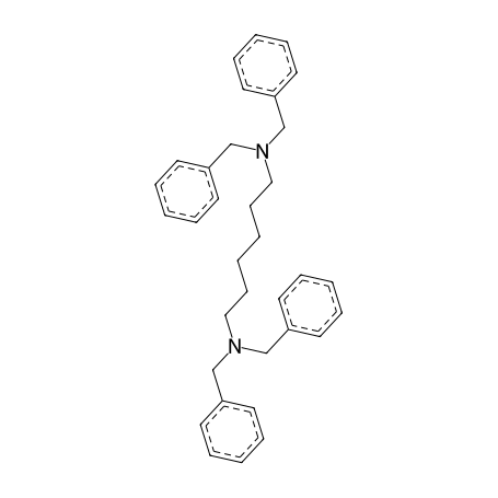 c1ccc(CN(CCCCCCN(Cc2ccccc2)Cc2ccccc2)Cc2ccccc2)cc1